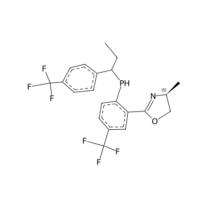 CCC(Pc1ccc(C(F)(F)F)cc1C1=N[C@@H](C)CO1)c1ccc(C(F)(F)F)cc1